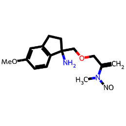 C=C(COCC1(N)CCc2cc(OC)ccc21)N(C)N=O